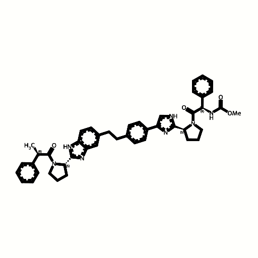 COC(=O)N[C@@H](C(=O)N1CCC[C@H]1c1nc(-c2ccc(CCc3ccc4[nH]c([C@@H]5CCCN5C(=O)[C@H](C)c5ccccc5)nc4c3)cc2)c[nH]1)c1ccccc1